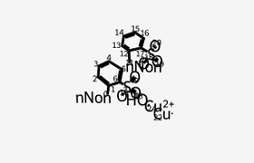 CCCCCCCCCc1ccccc1S(=O)(=O)[O-].CCCCCCCCCc1ccccc1S(=O)(=O)[O-].[Cu].[OH][Cu+2]